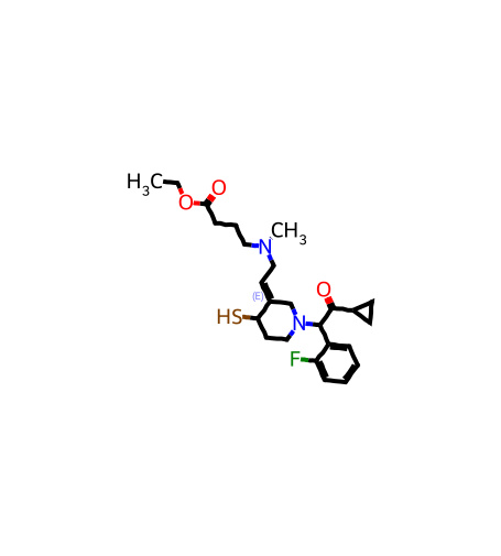 CCOC(=O)CCCN(C)C/C=C1\CN(C(C(=O)C2CC2)c2ccccc2F)CCC1S